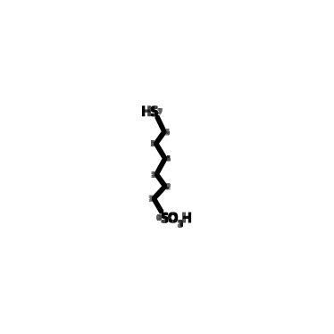 O=S(=O)(O)CCCCCCS